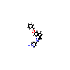 c1ccc(COc2ccc3c(c2)CCC32CC2NCC2CCNCC2)cc1